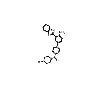 Nc1ncc(-c2ccc(C(=O)N3CCC(O)CC3)cc2)cc1-c1nc2ccccc2o1